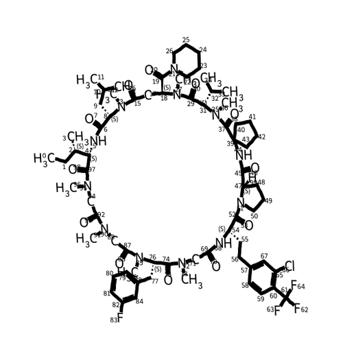 CC[C@H](C)[C@@H]1NC(=O)[C@H](CC(C)C)N(C)C(=O)C[C@@H](C(=O)N2CCCCC2)N(C)C(=O)[C@H](C(C)C)N(C)C(=O)C2(CCCC2)NC(=O)[C@@H]2CCCN2C(=O)[C@H](CCc2ccc(C(F)(F)F)c(Cl)c2)NC(=O)CN(C)C(=O)[C@H](Cc2cccc(F)c2)N(C)C(=O)CN(C)C(=O)CN(C)C1=O